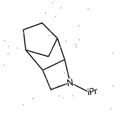 CC(C)N1CC2C3CCC(C3)C21